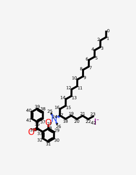 CCCCCCCCCCCCCCCCCC(CCCCCC)[N+](C)(C)Oc1ccccc1C(=O)c1ccccc1.[I-]